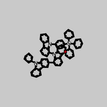 c1ccc(-n2c3ccccc3c3cc(-c4cccc5c6ccccc6n(-c6cccc7c8ccccc8n(-c8ccc([Si](c9ccccc9)(c9ccccc9)c9ccccc9)cc8)c67)c45)ccc32)cc1